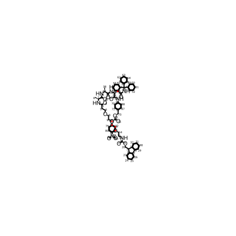 C[C@H](NC(=O)CCOCCOCCOCCNC(=O)OCC1c2ccccc2-c2ccccc21)C(=O)N[C@@H](C)C(=O)N[C@@H](CC(=O)NC(c1ccccc1)(c1ccccc1)c1ccccc1)C(=O)Nc1ccc(COC(=O)Oc2ccc([N+](=O)[O-])cc2)cc1